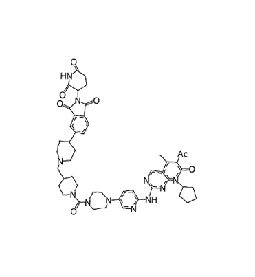 CC(=O)c1c(C)c2cnc(Nc3ccc(N4CCN(C(=O)N5CCC(CN6CCC(c7ccc8c(c7)C(=O)N(C7CCC(=O)NC7=O)C8=O)CC6)CC5)CC4)cn3)nc2n(C2CCCC2)c1=O